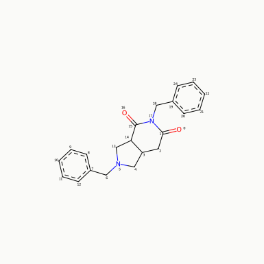 O=C1CC2CN(Cc3ccccc3)CC2C(=O)N1Cc1ccccc1